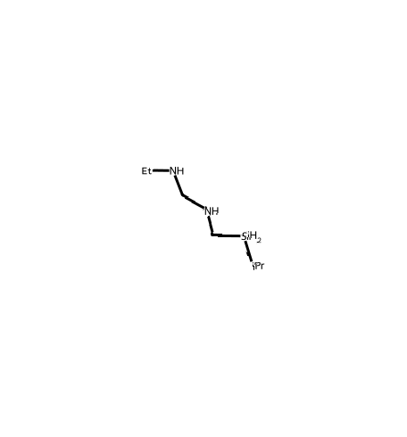 CCNCNC[SiH2]C(C)C